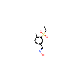 CCS(=O)(=O)c1cc(/C=N/O)ccc1C